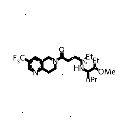 CCCC(N[C@@H](CC)CCC(=O)N1CCc2ncc(C(F)(F)F)cc2C1)C(CC)OC